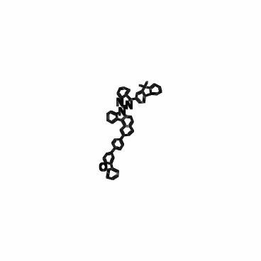 CC1(C)c2ccccc2-c2ccc(-c3nc(-n4c5ccccc5c5c6cc(-c7ccc(-c8ccc9oc%10ccccc%10c9c8)cc7)ccc6ccc54)nc4ccccc34)cc21